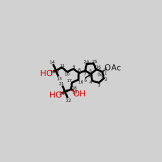 CC(=O)O[C@H]1CCC[C@]2(C)C(C(CCCC(C)(C)O)CCC(O)C(C)(C)O)CCC12